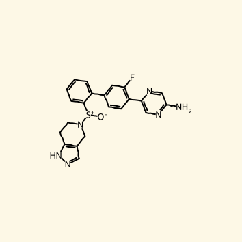 Nc1cnc(-c2ccc(-c3ccccc3[S+]([O-])N3CCc4[nH]ncc4C3)cc2F)cn1